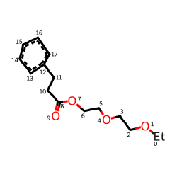 CCOCCOCCOC(=O)CCc1ccccc1